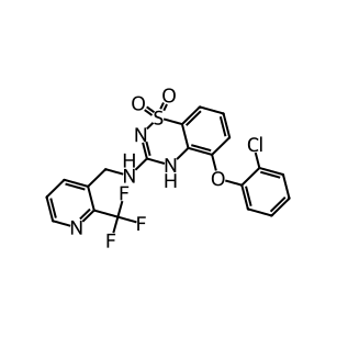 O=S1(=O)N=C(NCc2cccnc2C(F)(F)F)Nc2c(Oc3ccccc3Cl)cccc21